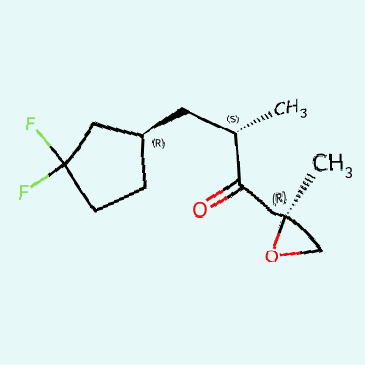 C[C@@H](C[C@H]1CCC(F)(F)C1)C(=O)[C@@]1(C)CO1